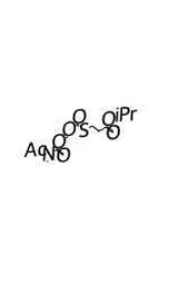 CC(=O)N(C)C(=O)OCOC(=O)SCCC(=O)OC(C)C